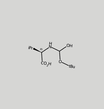 CC(C)[C@@H](NC(O)OC(C)(C)C)C(=O)O